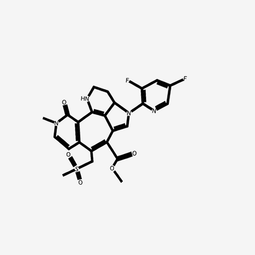 COC(=O)C1=C(CS(C)(=O)=O)c2ccn(C)c(=O)c2C2=C3C1=CN(c1ncc(F)cc1F)C3CCN2